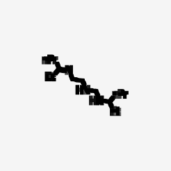 CCCC(CC)=NCCNCNC(CC)CCC